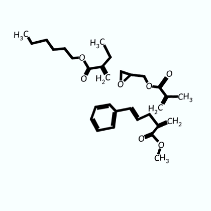 C=C(C)C(=O)OCC1CO1.C=C(CC)C(=O)OCCCCCC.C=C(CC=Cc1ccccc1)C(=O)OC